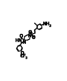 Cc1cc(N)ccc1C=CS(=O)(=O)N1CCC2(CC1)N=C(c1cccc(OC(F)(F)F)c1)NC2=O